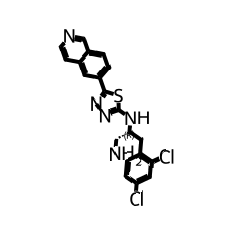 NC[C@@H](Cc1ccc(Cl)cc1Cl)Nc1nnc(-c2ccc3cnccc3c2)s1